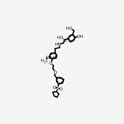 CC(=O)O.O=S(=O)(c1cccc(COCCOc2ccc(CCNC[C@H](O)c3ccc(O)c(CO)c3)cc2)c1)C1CCCC1